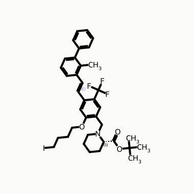 Cc1c(/C=C/c2cc(OCCCCI)c(CN3CCCC[C@H]3C(=O)OC(C)(C)C)cc2C(F)(F)F)cccc1-c1ccccc1